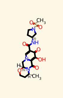 C[C@@H]1CCO[C@H]2Cn3cc(C(=O)N[C@H]4CCN(S(C)(=O)=O)C4)c(=O)c(O)c3C(=O)N12